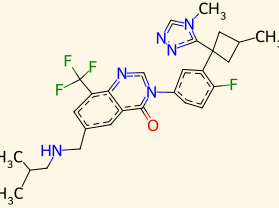 CC(C)CNCc1cc(C(F)(F)F)c2ncn(-c3ccc(F)c(C4(c5nncn5C)CC(C)C4)c3)c(=O)c2c1